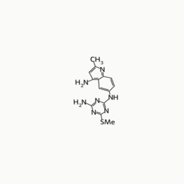 CSc1nc(N)nc(Nc2ccc3nc(C)cc(N)c3c2)n1